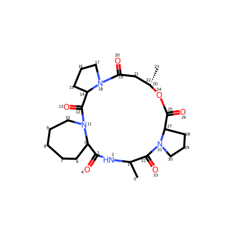 CC1NC(=O)C2CCCCCN2C(=O)C2CCCN2C(=O)C[C@H](C)OC(=O)C2CCCN2C1=O